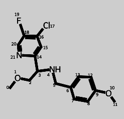 COCC(NCc1ccc(OC)cc1)c1cc(Cl)c(F)cn1